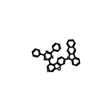 c1ccc(-c2nc(-c3ccccc3)nc(-c3cncc4oc5cc(-n6c7ccccc7c7cc8ccccc8cc76)ccc5c34)n2)cc1